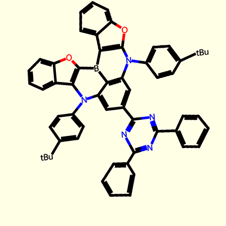 CC(C)(C)c1ccc(N2c3cc(-c4nc(-c5ccccc5)nc(-c5ccccc5)n4)cc4c3B(c3oc5ccccc5c3N4c3ccc(C(C)(C)C)cc3)c3c2oc2ccccc32)cc1